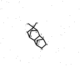 CC1(C)CC2CC1C1C3CCC(C3)C21